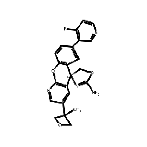 CC1(c2cnc3c(c2)[C@]2(COC(N)=N2)c2cc(-c4cnccc4F)ccc2O3)COC1